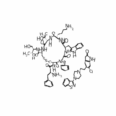 CC(O)[C@@H]1NC(=O)[C@H](CCCCN)NC(=O)[C@@H](Cc2c[nH]c3ccccc23)NC(=O)[C@H](Cc2ccccc2)NC(=O)[C@@H](NC(=O)[C@H](N)Cc2ccccc2)CSSC[C@@H](C(=O)N[C@H](CO)[C@@H](C)O)NC1=O.O=C1Cc2cc(CCN3CCN(c4nsc5ccccc45)CC3)c(Cl)cc2N1